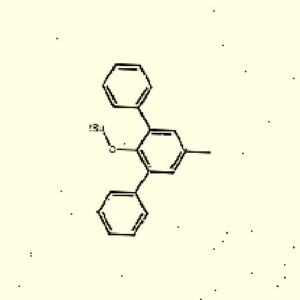 Cc1cc(-c2ccccc2)c(OC(C)(C)C)c(-c2ccccc2)c1